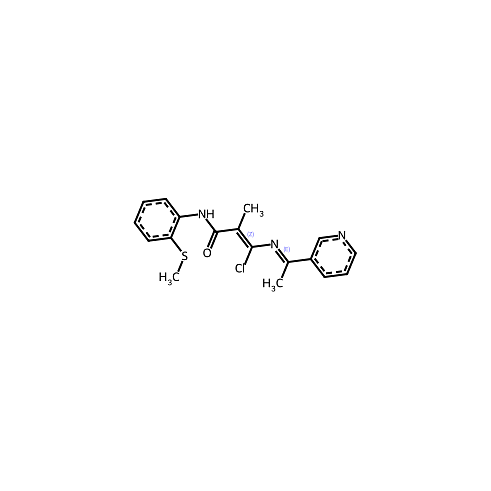 CSc1ccccc1NC(=O)/C(C)=C(Cl)/N=C(\C)c1cccnc1